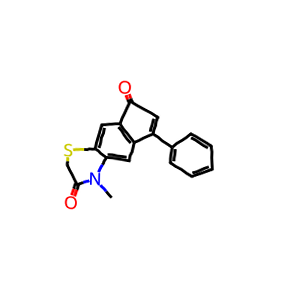 CN1C(=O)CSc2cc3c(cc21)C(c1ccccc1)=CC3=O